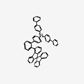 c1ccc(-c2ccc(N(c3ccc(-c4ccccc4)cc3)c3ccc(-c4ccccc4-c4cccc5c4-c4ccccc4C54c5ccccc5-c5ccccc54)cc3)cc2)cc1